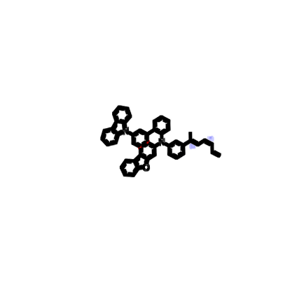 C=C/C=C\C=C(/C)c1cccc(N(c2ccc3c(c2)oc2ccccc23)c2ccccc2-c2cccc(-n3c4ccccc4c4ccccc43)c2)c1